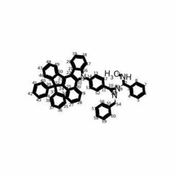 CNC(c1ccccc1)[N@@]1C(c2ccc(-n3c4ccccc4c4c5c(c6ccccc6c43)C(c3ccccc3)(c3ccccc3)c3ccccc3-5)cc2)[N@@]1Cc1ccccc1